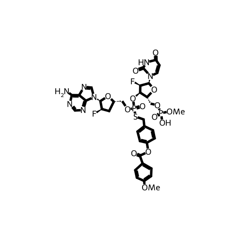 COc1ccc(C(=O)Oc2ccc(CSP(=O)(OC[C@@H]3C[C@@H](F)[C@H](n4cnc5c(N)ncnc54)O3)O[C@H]3[C@@H](F)[C@H](n4ccc(=O)[nH]c4=O)O[C@@H]3COP(=O)(O)OC)cc2)cc1